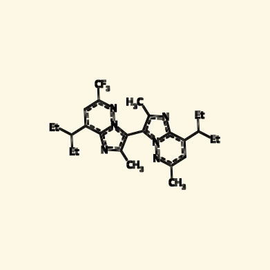 CCC(CC)c1cc(C)nn2c(-c3c(C)nc4c(C(CC)CC)cc(C(F)(F)F)nn34)c(C)nc12